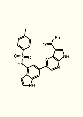 Cc1ccc(S(=O)(=O)Nc2cc(-c3cnc4[nH]cc(C(=O)C(C)(C)C)c4n3)cc3[nH]ccc23)cc1